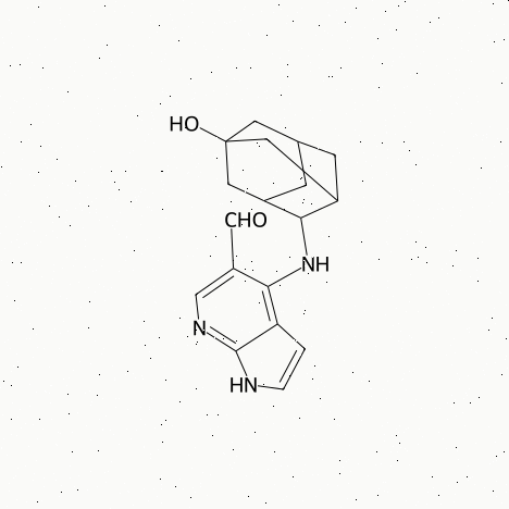 O=Cc1cnc2[nH]ccc2c1NC1C2CC3CC1CC(O)(C3)C2